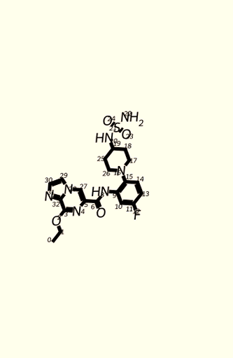 CCOc1nc(C(=O)Nc2cc(F)ccc2N2CCC(NS(N)(=O)=O)CC2)cn2ccnc12